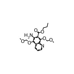 CCCOC(=O)c1c(N)c(OCOC)c2cccnc2c1OCOC